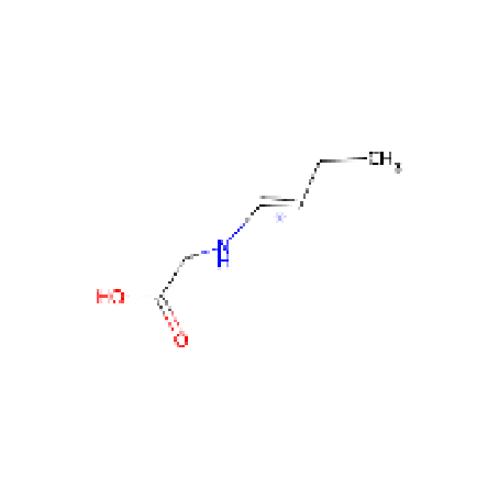 CC/C=C/NCC(=O)O